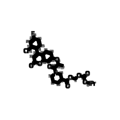 CC(C)OC(=O)OCOC(=O)C1CCCN(C(=O)C(C)Oc2ccc3c(-c4ccc(F)cc4Cl)cc(=O)oc3c2)C1